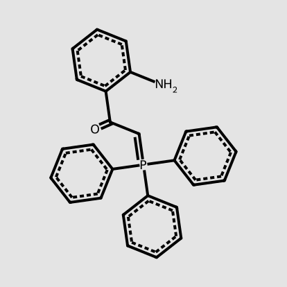 Nc1ccccc1C(=O)C=P(c1ccccc1)(c1ccccc1)c1ccccc1